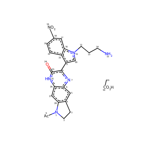 CC(=O)N1CCc2cc3nc(-c4cn(CCCN)c5cc([N+](=O)[O-])ccc45)c(=O)[nH]c3cc21.CC(=O)O